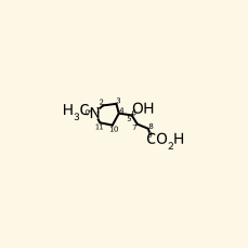 CN1CCC(C(O)CCC(=O)O)CC1